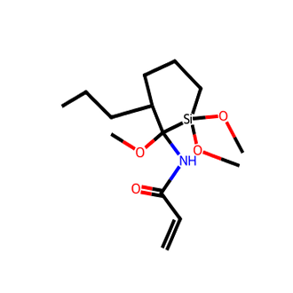 C=CC(=O)NC1(OC)C(CCC)CCC[Si]1(OC)OC